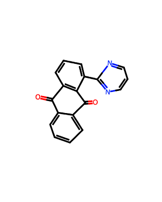 O=C1c2ccccc2C(=O)c2c1cccc2-c1ncccn1